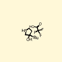 CC(C)(C)C1(O)CCNC1.O=C(O)C(F)(F)F